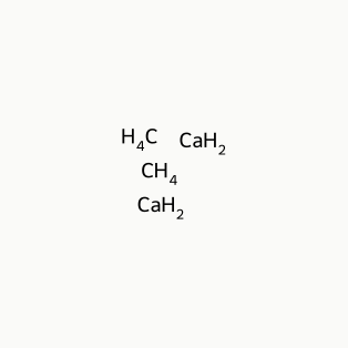 C.C.[CaH2].[CaH2]